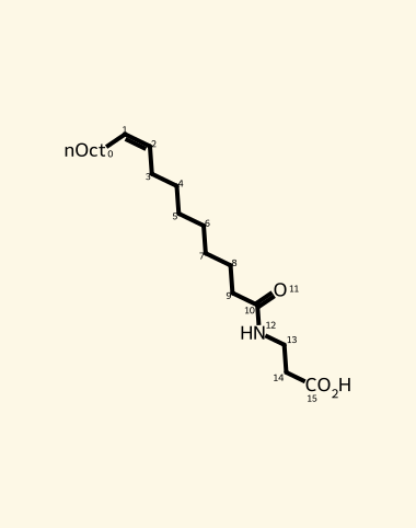 CCCCCCCC/C=C\CCCCCCCC(=O)NCCC(=O)O